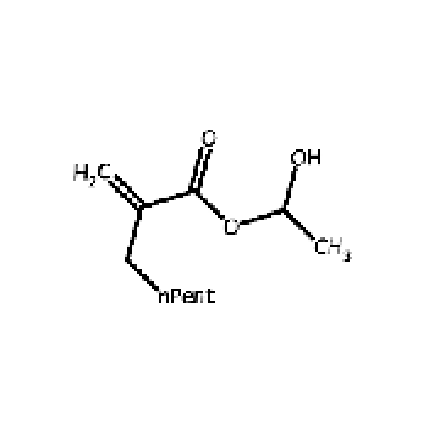 C=C(CCCCCC)C(=O)OC(C)O